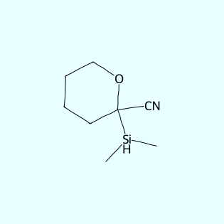 C[SiH](C)C1(C#N)CCCCO1